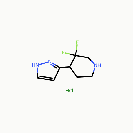 Cl.FC1(F)CNCCC1c1cc[nH]n1